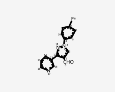 O=Cc1cn(-c2ccc(F)cc2)nc1-c1cccnc1